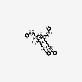 N[C@@H](CCCCNC(=O)OCc1ccccc1)C(=O)N[C@H](CCC(=O)OC(=O)c1cccnc1)C(=O)OC(=O)[C@@H](CCC(=O)OC(=O)c1cccnc1)NC(=O)[C@@H](N)CCCCNC(=O)OCc1ccccc1